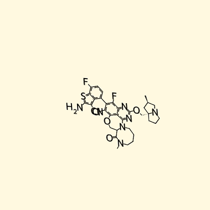 C[C@H]1CN2CCC[C@@]2(COc2nc3c4c(c(Cl)c(-c5ccc(F)c6sc(N)c(C#N)c56)c(F)c4n2)OCC2C(=O)N(C)CCCCN32)C1